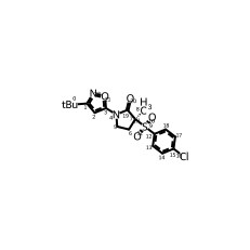 CC(C)(C)c1cc(N2CC[C@](C)(S(=O)(=O)c3ccc(Cl)cc3)C2=O)on1